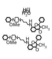 COc1ccccc1N1CCN(CCCCNc2cccc3c(=O)c(C)c(-c4ccccc4)oc23)CC1.COc1ccccc1N1CCN(CCCCNc2cccc3c(=O)c(C)c(-c4ccccc4)oc23)CC1.Cl.Cl.O